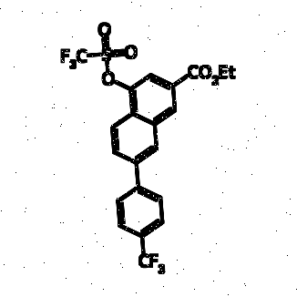 CCOC(=O)c1cc(OS(=O)(=O)C(F)(F)F)c2ccc(-c3ccc(C(F)(F)F)cc3)cc2c1